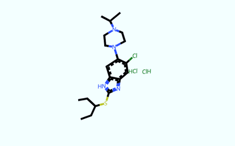 CCC(CC)Sc1nc2cc(Cl)c(N3CCN(C(C)C)CC3)cc2[nH]1.Cl.Cl